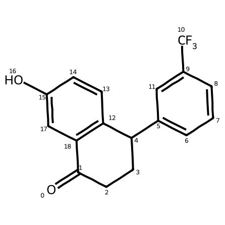 O=C1CCC(c2cccc(C(F)(F)F)c2)c2ccc(O)cc21